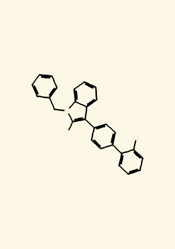 O=C(O)c1c(-c2ccc(-c3ccccc3O)cc2)c2ccccc2n1Cc1ccccc1